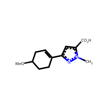 COC1CC=C(c2cc(C(=O)O)n(C)n2)CC1